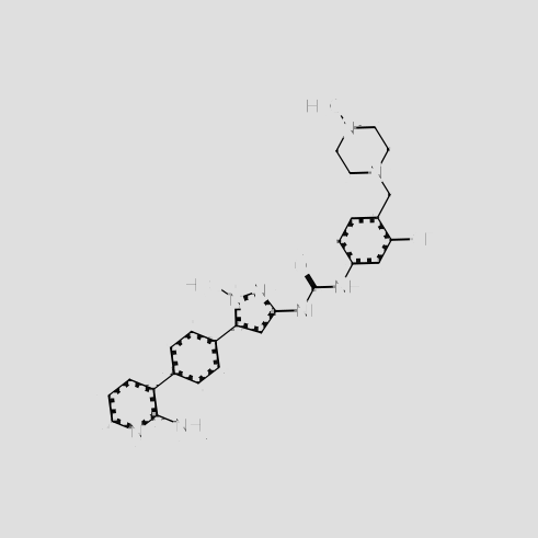 CN1CCN(Cc2ccc(NC(=O)Nc3cc(-c4ccc(-c5cccnc5N)cc4)n(C)n3)cc2C(F)(F)F)CC1